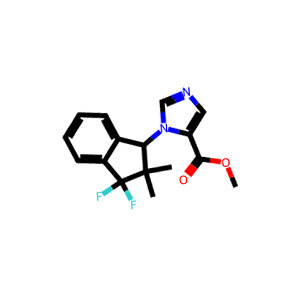 COC(=O)c1cncn1C1c2ccccc2C(F)(F)C1(C)C